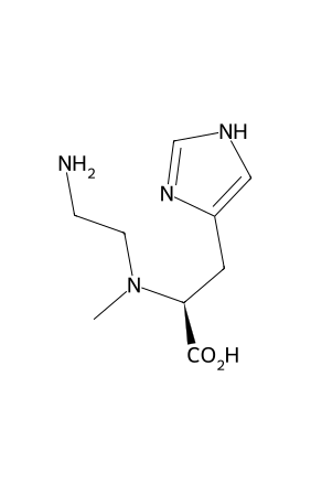 CN(CCN)[C@@H](Cc1c[nH]cn1)C(=O)O